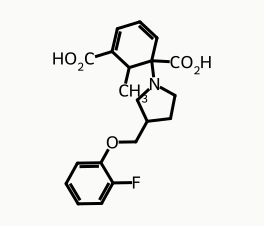 CC1C(C(=O)O)=CC=CC1(C(=O)O)N1CCC(COc2ccccc2F)C1